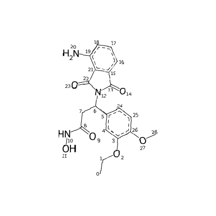 CCOc1cc(C(CC(=O)NO)N2C(=O)c3cccc(N)c3C2=O)ccc1OC